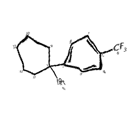 CCCC1(c2ccc(C(F)(F)F)cc2)CCCCC1